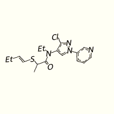 CC/C=C/SC(C)C(=O)N(CC)c1cn(-c2cccnc2)nc1Cl